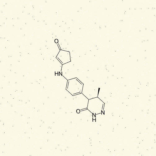 C[C@H]1C=NNC(=O)C1c1ccc(NC2=CC(=O)CC2)cc1